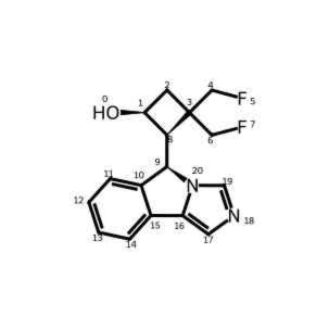 O[C@H]1CC(CF)(CF)[C@H]1[C@@H]1c2ccccc2-c2cncn21